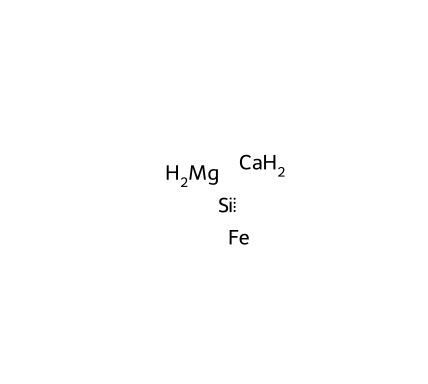 [CaH2].[Fe].[MgH2].[Si]